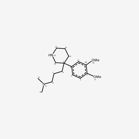 COc1ccc(C2(CCCN(C)C)CCCNC2)cc1OC